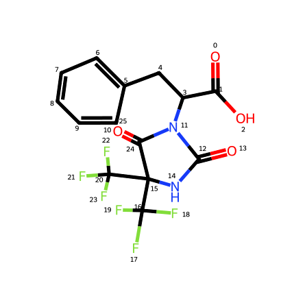 O=C(O)C(Cc1ccccc1)N1C(=O)NC(C(F)(F)F)(C(F)(F)F)C1=O